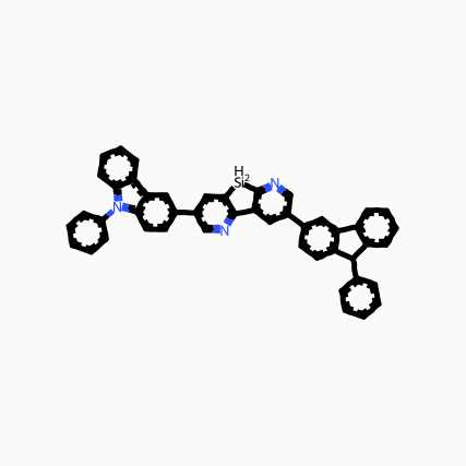 c1ccc(C2c3ccccc3-c3cc(-c4cnc5c(c4)-c4ncc(-c6ccc7c(c6)c6ccccc6n7-c6ccccc6)cc4[SiH2]5)ccc32)cc1